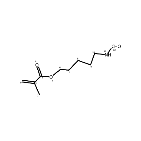 C=C(C)C(=O)OCCCCCNC=O